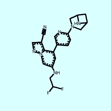 N#Cc1cnn2cc(NCC(F)F)cc(-c3ccc(N4CC5CC(C4)N5)nc3)c12